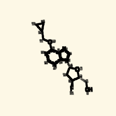 OC[C@H]1O[C@@H](n2cnc3c(OCC4CC4)ncnc32)C[C@@H]1F